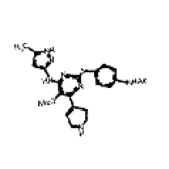 COc1c(Nc2cc(C)[nH]n2)nc(Sc2ccc(NC(C)=O)cc2)nc1C1=CCNCC1